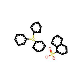 O=S(=O)([O-])c1cccc2ccccc12.c1ccc([S+](c2ccccc2)c2ccccc2)cc1